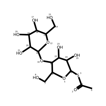 CC(=O)SC1OC(CO)C(OC2OC(CO)C(O)C(O)C2O)C(O)C1O